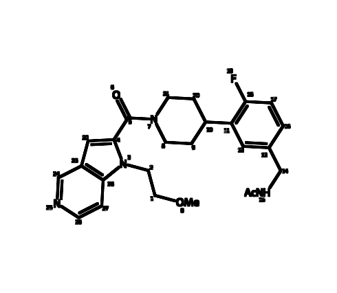 COCCn1c(C(=O)N2CCC(c3cc(CNC(C)=O)ccc3F)CC2)cc2cnccc21